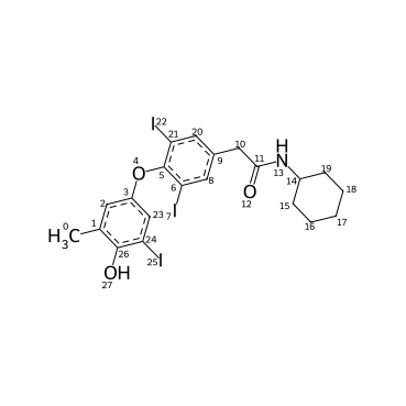 Cc1cc(Oc2c(I)cc(CC(=O)NC3CCCCC3)cc2I)cc(I)c1O